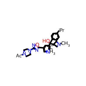 CC(=O)N1CCN(c2noc(-c3cncc([C@@](O)(c4ccc(C(C)C)cc4)C4(C)CN(C)C4)c3)n2)CC1